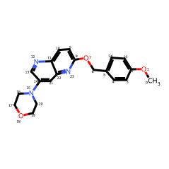 COc1ccc(COc2ccc3ncc(N4CCOCC4)cc3n2)cc1